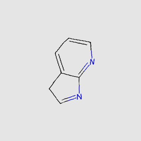 C1=Nc2ncccc2C1